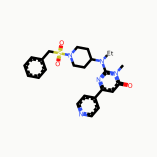 CCN(c1nc(-c2ccncc2)cc(=O)n1C)C1CCN(S(=O)(=O)Cc2ccccc2)CC1